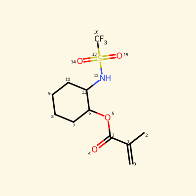 C=C(C)C(=O)OC1CCCCC1NS(=O)(=O)C(F)(F)F